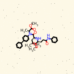 COC(=O)[C@H](CCC(=O)Nc1ccccc1)N[C@@H](CC(C)C)C(=O)N(c1ccc(-c2ccccc2)cc1)[C@@H](C)C(=O)OC